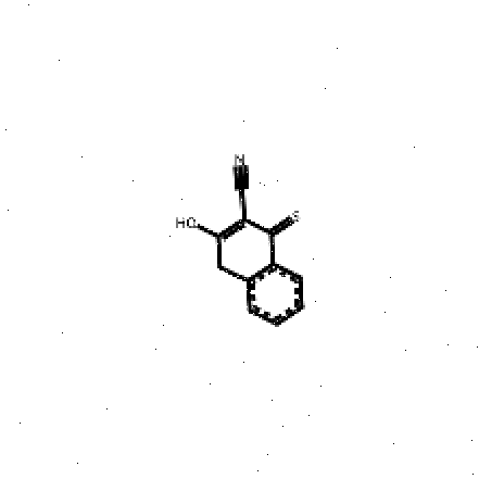 N#CC1=C(O)Cc2ccccc2C1=S